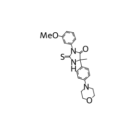 COc1cccc(N2C(=O)C(C)(c3ccc(N4CCOCC4)cc3)NC2=S)c1